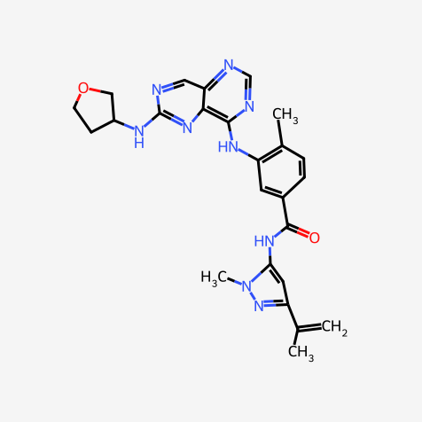 C=C(C)c1cc(NC(=O)c2ccc(C)c(Nc3ncnc4cnc(NC5CCOC5)nc34)c2)n(C)n1